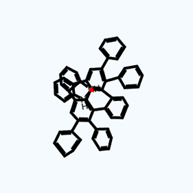 c1ccc(-c2cc3c([nH]c4ccccc43)c(-c3ccccc3-c3c(-c4ccccc4)c(-c4ccccc4)cc4c3[nH]c3ccccc34)c2-c2ccccc2)cc1